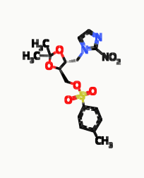 Cc1ccc(S(=O)(=O)OC[C@H]2OC(C)(C)O[C@@H]2Cn2ccnc2[N+](=O)[O-])cc1